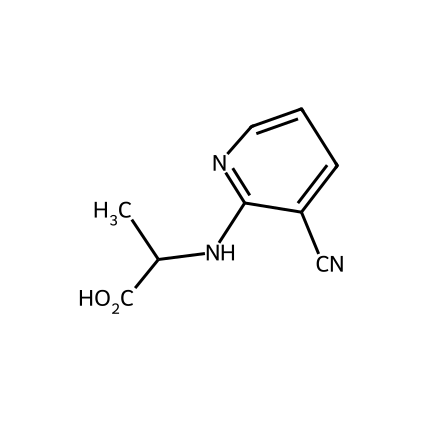 CC(Nc1ncccc1C#N)C(=O)O